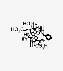 CC(C)[C@H](NC(=O)[C@H](CCC(=O)O)NC(=O)[C@H](CC(=O)O)NC(=O)OCc1ccccc1)C(=O)N[C@@H](CC(=O)O)C(=O)C(=O)CF